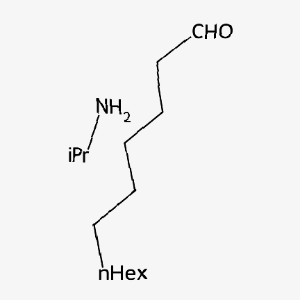 CC(C)N.CCCCCCCCCCCC=O